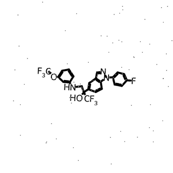 OC(CNc1cccc(OC(F)(F)F)c1)(c1ccc2c(cnn2-c2ccc(F)cc2)c1)C(F)(F)F